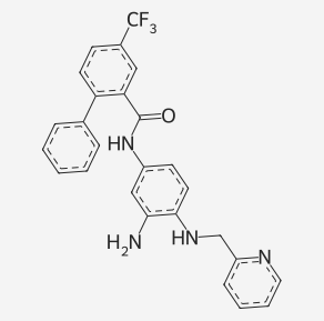 Nc1cc(NC(=O)c2cc(C(F)(F)F)ccc2-c2ccccc2)ccc1NCc1ccccn1